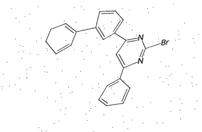 Brc1nc(-c2ccccc2)cc(-c2cccc(C3=CCCC=C3)c2)n1